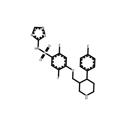 O=S(=O)(Nc1ncns1)c1cc(F)c(OCC2CNCCC2c2ccc(F)cc2)cc1F